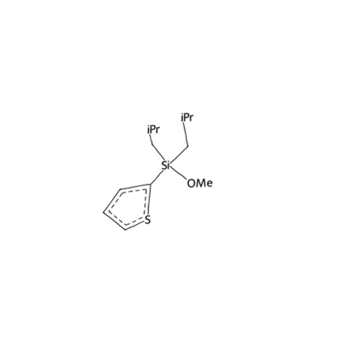 CO[Si](CC(C)C)(CC(C)C)c1cccs1